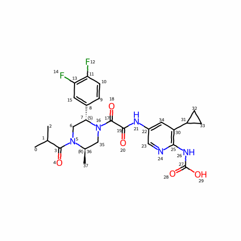 CC(C)C(=O)N1C[C@H](c2ccc(F)c(F)c2)N(C(=O)C(=O)Nc2cnc(NC(=O)O)c(C3CC3)c2)C[C@H]1C